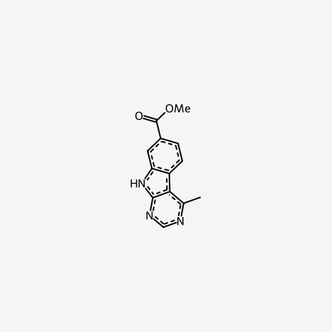 COC(=O)c1ccc2c(c1)[nH]c1ncnc(C)c12